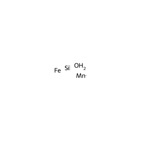 O.[Fe].[Mn].[Si]